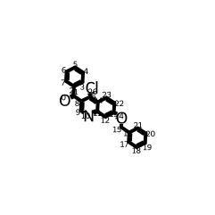 O=C(c1ccccc1)c1cnc2cc(OCc3ccccc3)ccc2c1Cl